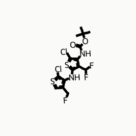 CC(C)(C)OC(=O)Nc1c(Cl)sc(Nc2c(CF)csc2Cl)c1C(F)F